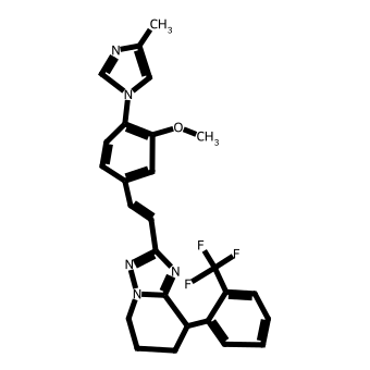 COc1cc(/C=C/c2nc3n(n2)CCCC3c2ccccc2C(F)(F)F)ccc1-n1cnc(C)c1